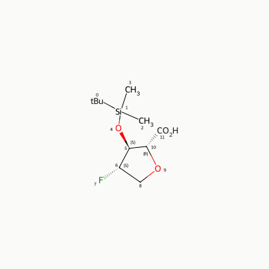 CC(C)(C)[Si](C)(C)O[C@@H]1[C@@H](F)CO[C@H]1C(=O)O